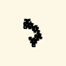 CN(C)C(=O)c1ccc(N2CCC(CCCN(C)C(=O)Cc3cc(F)cc(Cl)c3)CC2)nc1Cl